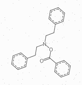 O=C(ON(CCc1ccccc1)CCc1ccccc1)c1ccccc1